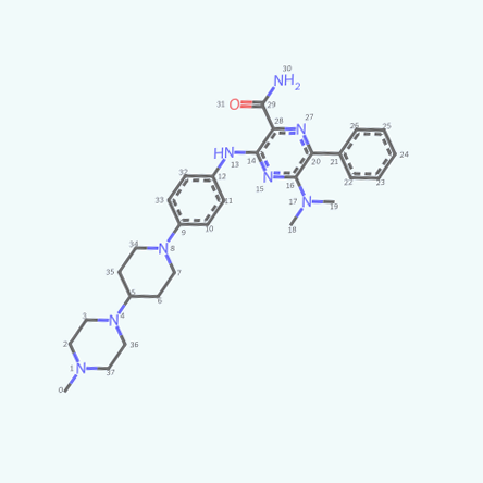 CN1CCN(C2CCN(c3ccc(Nc4nc(N(C)C)c(-c5ccccc5)nc4C(N)=O)cc3)CC2)CC1